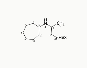 CCCCCCCC(C)NC1CCCCCC1